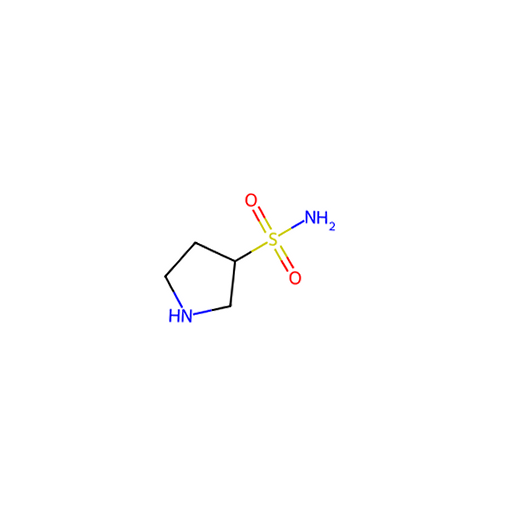 NS(=O)(=O)C1CCNC1